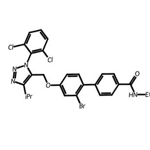 CCNC(=O)c1ccc(-c2ccc(OCc3c(C(C)C)nnn3-c3c(Cl)cccc3Cl)cc2Br)cc1